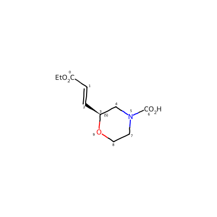 CCOC(=O)C=C[C@H]1CN(C(=O)O)CCO1